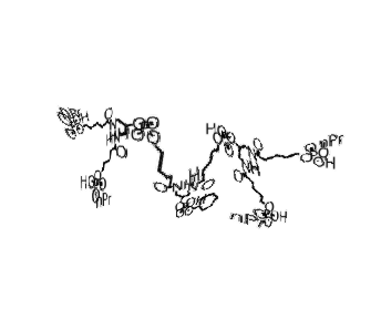 CCCOP(=O)(O)OCCCCC(=O)NCC(CNC(=O)CCCCOP(=O)(O)OCCC)OP(=O)(O)OCCCCC(=O)NCC(CNC(=O)CCCCOP(=O)(O)OC(CNC(=O)CCCCOP(=O)(O)OCCC)CNC(=O)CCCCOP(=O)(O)OCCC)OP(=O)(O)OC1CCCCC1